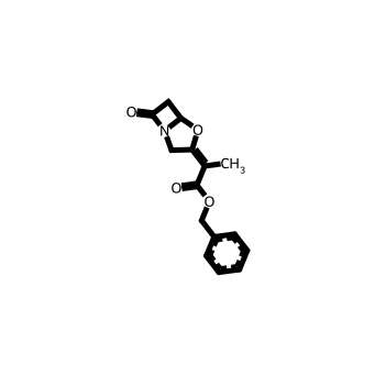 C/C(C(=O)OCc1ccccc1)=C1/CN2C(=O)CC2O1